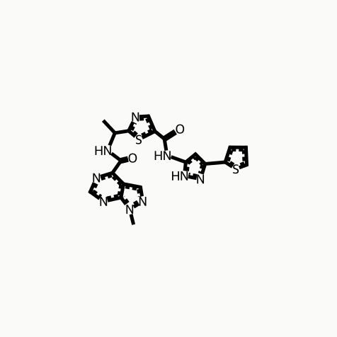 CC(NC(=O)c1ncnc2c1cnn2C)c1ncc(C(=O)Nc2cc(-c3cccs3)n[nH]2)s1